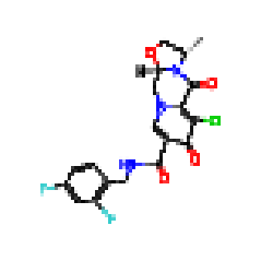 C[C@H]1CO[C@@H]2Cn3cc(C(=O)NCc4ccc(F)cc4F)c(=O)c(Cl)c3C(=O)N12